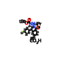 CC(C)Cn1c(CNC(=O)OC(C)(C)C)c(-c2ccc(F)cc2)c2cc(C=CC(=O)O)ccc2c1=O